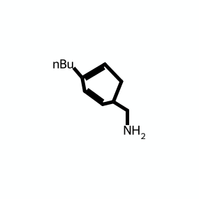 CCCCC1=CCC(CN)C=C1